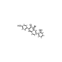 Oc1ccc(-c2nc3ccc(-c4ccccc4O)cc3c(Br)c2Cl)cc1